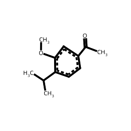 COc1cc(C(C)=O)ccc1C(C)C